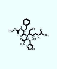 CCCCC(=O)NC[C@H](O)C(CC(C)C)N(C(=O)[C@H](Cc1ccccc1)NC(=O)OC(C)(C)C)[C@@H](Cc1c[nH]cn1)C(N)=O